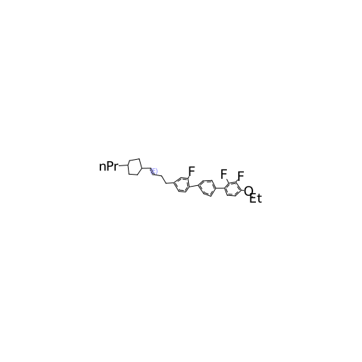 CCCC1CCC(/C=C/CCc2ccc(-c3ccc(-c4ccc(OCC)c(F)c4F)cc3)c(F)c2)CC1